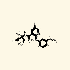 C#C[C@@](C)(CC)NC(=O)c1cc(F)cnc1[AsH]c1cccc(OC)c1